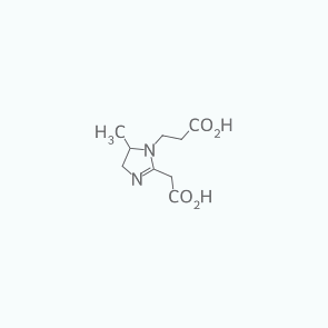 CC1CN=C(CC(=O)O)N1CCC(=O)O